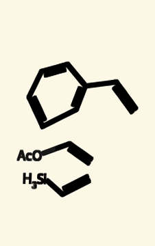 C=COC(C)=O.C=C[SiH3].C=Cc1ccccc1